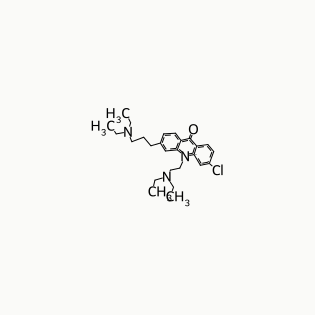 CCN(CC)CCCc1ccc2c(=O)c3ccc(Cl)cc3n(CCN(CC)CC)c2c1